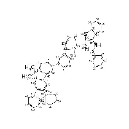 CC1(C)c2ccc(-c3ccc4sc5c(c4c3)C=CCC5C3=NC(c4ccccc4)NC4=C3SC3CC=CC=C43)cc2-c2cc3c(cc21)-c1ccccc1C31CCCCC1